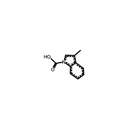 Cc1cn(C(=O)O)c2ccccc12